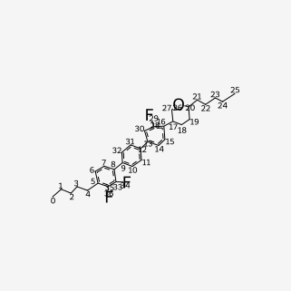 CCCCCc1ccc(-c2ccc(-c3ccc(C4CCC(CCCCC)OC4)c(F)c3)cc2)c(F)c1F